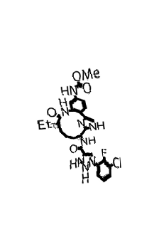 CC[C@H]1CCC[C@H](NC(=O)C2=CN(c3cccc(Cl)c3F)NN2)c2nc(c[nH]2)-c2ccc(NC(=O)OC)cc2NC1=O